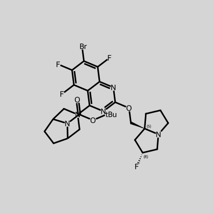 CC(C)(C)OC(=O)N1C2CCC1CN(c1nc(OC[C@@]34CCCN3C[C@H](F)C4)nc3c(F)c(Br)c(F)c(F)c13)C2